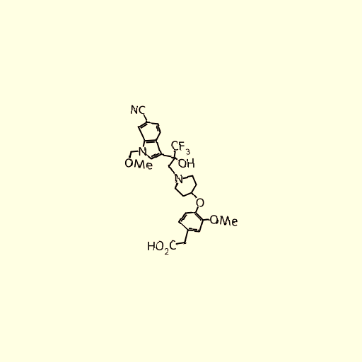 COCn1cc(C(O)(CN2CCC(Oc3ccc(CC(=O)O)cc3OC)CC2)C(F)(F)F)c2ccc(C#N)cc21